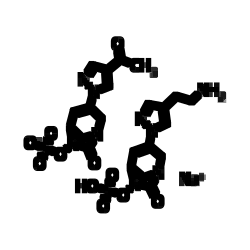 CC(=O)c1cnn(C2=CC3CN(C2)C(=O)N3OS(=O)(=O)[O-])c1.NCCc1cnn(C2=CC3CN(C2)C(=O)N3OS(=O)(=O)O)c1.[Na+]